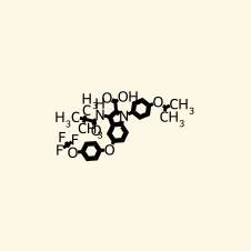 CC(C)Oc1ccc(-n2c(C(=O)O)c(NC(=O)C(C)(C)C)c3cc(Oc4ccc(OC(F)(F)F)cc4)ccc32)cc1